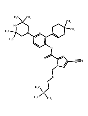 CC1(C)CC=C(c2nc(N3CC(C)(C)NC(C)(C)C3)ccc2NC(=O)c2nc(C#N)cn2COCC[Si](C)(C)C)CC1